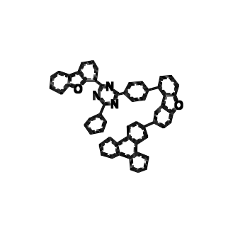 c1ccc(-c2nc(-c3ccc(-c4cccc5oc6ccc(-c7ccc8c9ccccc9c9ccccc9c8c7)cc6c45)cc3)nc(-c3cccc4c3oc3ccccc34)n2)cc1